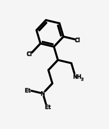 CCN(CC)CCC(CN)c1c(Cl)cccc1Cl